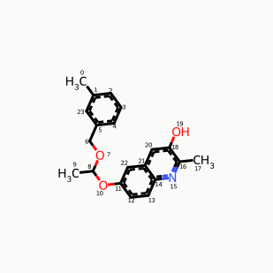 Cc1cccc(COC(C)Oc2ccc3nc(C)c(O)cc3c2)c1